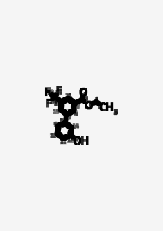 CCOC(=O)c1cc(-c2cccc(O)c2)cc(C(F)(F)F)c1